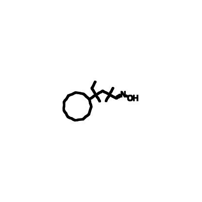 CCC(C)(CC(C)(C)/C=N/O)C1CCCCCCCCCC1